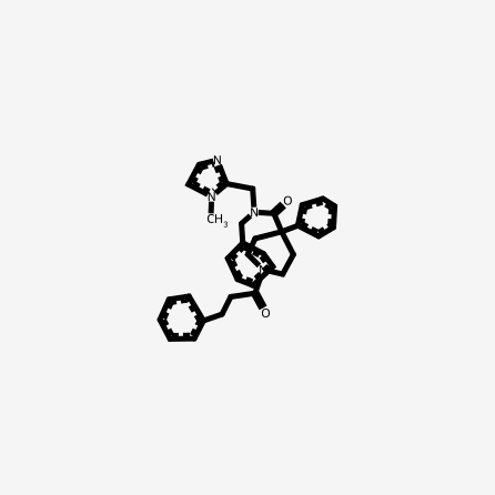 Cn1ccnc1CN(Cc1ccccc1)C(=O)C1(c2ccccc2)CCN(C(=O)CCc2ccccc2)CC1